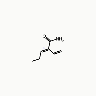 C=C/C(=C\CC)C(N)=O